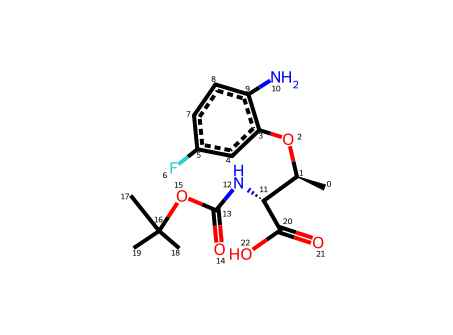 C[C@H](Oc1cc(F)ccc1N)[C@@H](NC(=O)OC(C)(C)C)C(=O)O